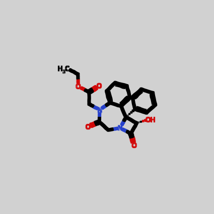 CCOC(=O)CN1C(=O)CN2C(=O)[C@@H](O)[C@]2(c2ccccc2)c2ccccc21